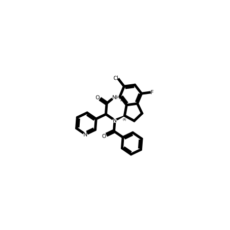 NC(=O)C(c1cccnc1)N(C(=O)c1ccccc1)[C@@H]1CCc2c(F)cc(Cl)cc21